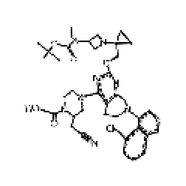 CN(C(=O)OC(C)(C)C)C1CN(C2(COc3nc4c(c(N5CCN(C(=O)O)C(CC#N)C5)n3)CCN(c3cccc5cccc(Cl)c35)C4)CC2)C1